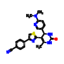 CC1=C(c2nc(-c3ccc(C#N)cc3)cs2)C(c2ccc(N(C)C)nc2)NC(=O)N1